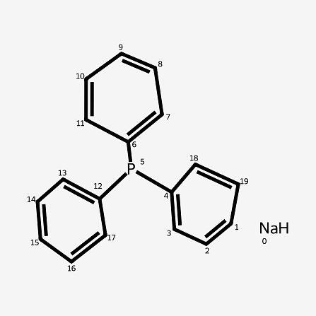 [NaH].c1ccc(P(c2ccccc2)c2ccccc2)cc1